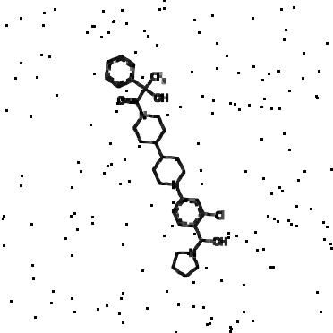 O=C(N1CCC(C2CCN(c3ccc(C(O)N4CCCC4)c(Cl)c3)CC2)CC1)C(O)(c1ccccc1)C(F)(F)F